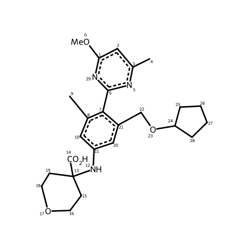 COc1cc(C)nc(-c2c(C)cc(NC3(C(=O)O)CCOCC3)cc2COC2CCCC2)n1